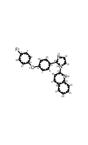 Fc1ccc(Oc2ccc(-c3nccn3-c3ccc4ccccc4n3)cc2)cc1